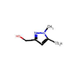 Cn1nc(CO)cc1C(=O)O